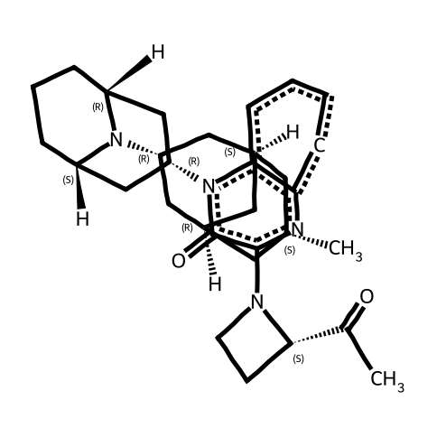 CC(=O)[C@@H]1CCN1c1nc2ccccc2n([C@H]2C[C@H]3CCC[C@@H](C2)N3[C@H]2C[C@@H]3C[C@@H](C)C[C@@H](C3)C2)c1=O